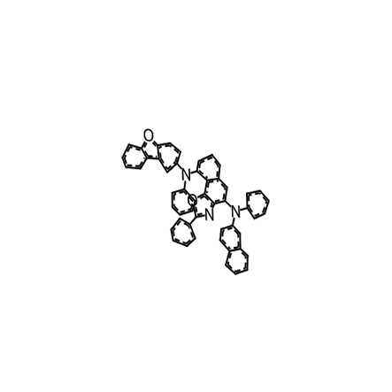 c1ccc(-c2nc3c(N(c4ccccc4)c4ccc5ccccc5c4)cc4cccc(N(c5ccccc5)c5ccc6oc7ccccc7c6c5)c4c3o2)cc1